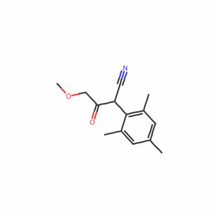 COCC(=O)C(C#N)c1c(C)cc(C)cc1C